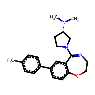 CN(C)[C@H]1CCN(C2=NCCOc3ccc(-c4ccc(C(F)(F)F)cc4)cc32)C1